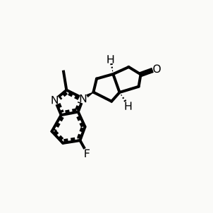 Cc1nc2ccc(F)cc2n1[C@H]1C[C@H]2CC(=O)C[C@H]2C1